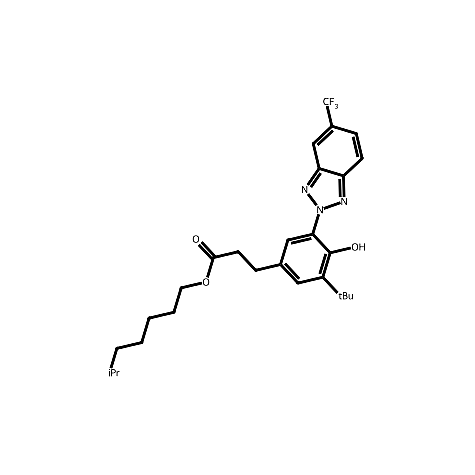 CC(C)CCCCCOC(=O)CCc1cc(-n2nc3ccc(C(F)(F)F)cc3n2)c(O)c(C(C)(C)C)c1